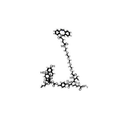 CCCC1O[C@@H]2CC3[C@@H]4CCC5=CC(O)C=C[C@]5(C)[C@H]4[C@@H](O)C[C@]3(C)[C@]2(C(=O)COC(=O)OCc2ccc(NC(=O)[C@H](CCCNC(N)=O)NC(=O)[C@@H](NC(=O)CCOCCOCCOCCOCCNC(=O)CCC(=O)N3Cc4ccccc4/C=C\c4ccccc43)C(C)C)cc2)O1